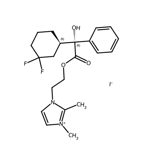 Cc1n(CCOC(=O)[C@](O)(c2ccccc2)[C@@H]2CCCC(F)(F)C2)cc[n+]1C.[I-]